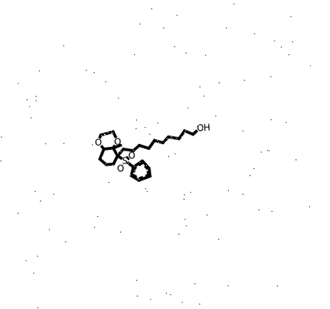 CC12OCCOC1CCCC2(CCCCCCCCCCO)S(=O)(=O)c1ccccc1